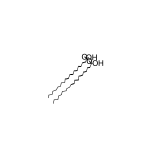 CCCCCCCCCC=CC=CC=CC=CC=CC(=O)O.CCCCCCCCCC=CC=CC=CC=CC=CC(=O)O